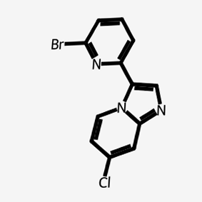 Clc1ccn2c(-c3cccc(Br)n3)cnc2c1